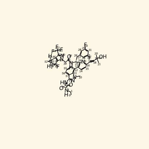 CCNS(=O)(=O)Nc1nn(C)c2c(-c3ccc(C#CC(C)(C)O)nc3[C@H](Cc3cc(F)cc(F)c3)NC(=O)Cn3nc(C(F)(F)F)c4c3C(F)(F)[C@@H]3C[C@H]43)cccc12